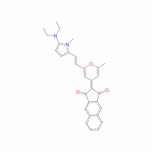 CCN(CC)c1ccc(C=CC2=CC(=C3C(=O)c4cc5ccccc5cc4C3=O)C=C(C)O2)n1C